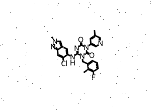 Cc1cncc(-n2c(=O)nc(Nc3cc4cn(C)nc4cc3Cl)n(Cc3cccc(F)c3C)c2=O)c1